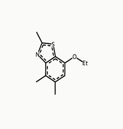 [CH2]COc1cc(C)c(C)c2nc(C)sc12